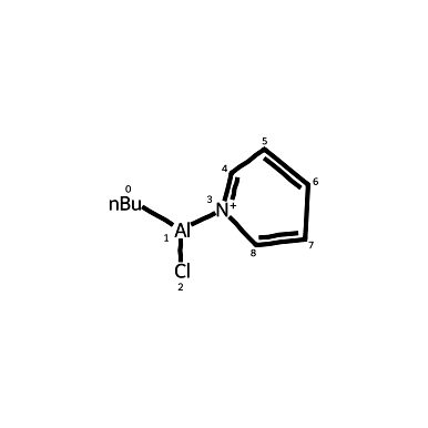 CCC[CH2][Al]([Cl])[n+]1ccccc1